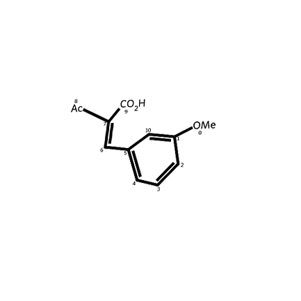 COc1cccc(C=C(C(C)=O)C(=O)O)c1